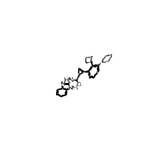 O=C(Nc1nc2ccccc2[nH]1)C1CC1c1cccc(Cl)c1Cl